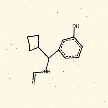 O=CNC(c1cccc(O)c1)C1CCC1